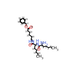 CCCCCC(N)C(=O)NC(CCCCC)C(=O)NCCCCCC(=O)OCc1ccccc1